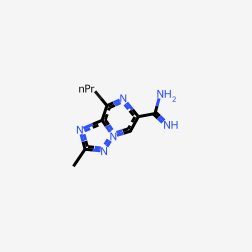 CCCc1nc(C(=N)N)cn2nc(C)nc12